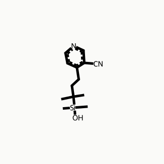 CC(C)(CCc1ccncc1C#N)[Si](C)(C)O